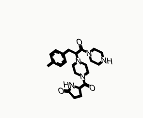 Cc1ccc(CC(C(=O)N2CCNCC2)N2CCN(C(=O)C3CCC(=O)N3)CC2)cc1